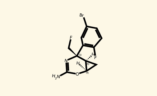 NC1=N[C@](CF)(c2cc(Br)ccc2F)[C@H]2C[C@H]2O1